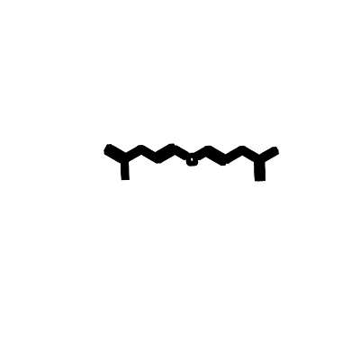 C=C(C)CC=COC=CCC(=C)C